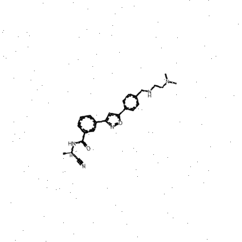 C[C@H](C#N)NC(=O)c1cccc(-c2cc(-c3ccc(CNCCN(C)C)cc3)on2)c1